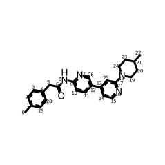 Cc1ccc(CC(=O)Nc2ccc(-c3ccnc(N4CCC(C)CC4)c3)cn2)cc1